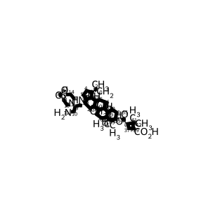 C=C(C)[C@@H]1CC[C@]2(NCC(CN)N3CCS(=O)(=O)CC3)CC[C@]3(C)[C@H](CC[C@@H]4[C@@]5(C)CC[C@H](OC(=O)[C@H]6C[C@@H](C(=O)O)C6(C)C)C(C)(C)[C@@H]5CC[C@]43C)[C@@H]12